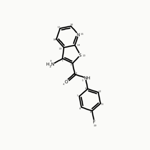 Nc1c(C(=O)Nc2ccc(F)cc2)sc2ncccc12